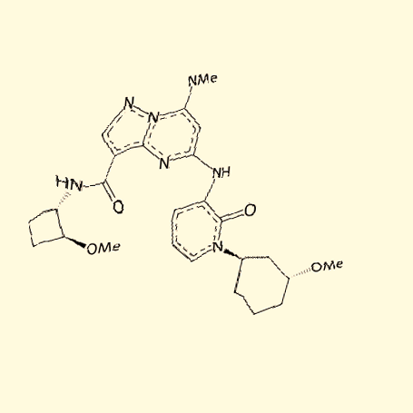 CNc1cc(Nc2cccn([C@@H]3CCC[C@@H](OC)C3)c2=O)nc2c(C(=O)N[C@H]3CC[C@@H]3OC)cnn12